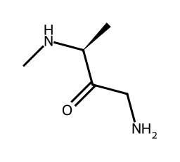 CN[C@@H](C)C(=O)CN